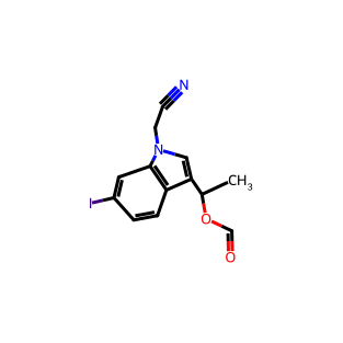 CC(OC=O)c1cn(CC#N)c2cc(I)ccc12